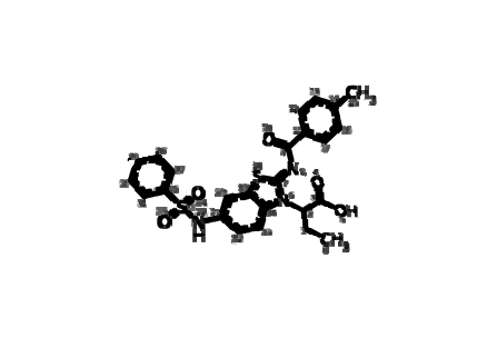 CCC(C(=O)O)n1c(=NC(=O)c2ccc(C)cc2)sc2cc(NS(=O)(=O)c3ccccc3)ccc21